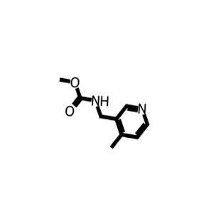 COC(=O)NCc1cnccc1C